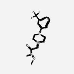 CON(C)C(=O)CN1CCN(c2cccc(C(F)(F)F)c2)CC1